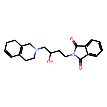 O=C1c2ccccc2C(=O)N1CCC(O)CN1CCC2=C(CCC=C2)C1